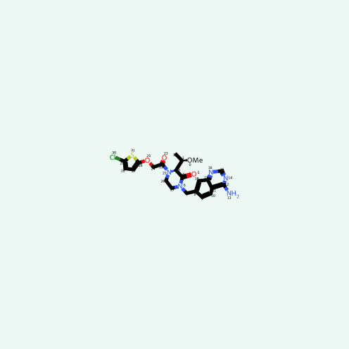 CO[C@H](C)[C@H]1C(=O)N(Cc2ccc3c(N)ncnc3c2)CCN1C(=O)COc1ccc(Cl)s1